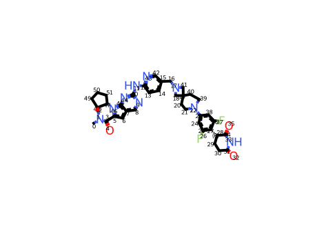 CN(C)C(=O)c1cc2cnc(Nc3ccc(CN4CC5(CCN(c6cc(F)c([C@H]7CCC(=O)NC7=O)c(F)c6)CC5)C4)cn3)nc2n1C1CCCC1